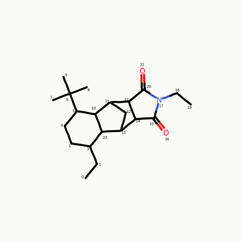 CCC1CCC(C(C)(C)C)C2C3CC(C4C(=O)N(CC)C(=O)C34)C12